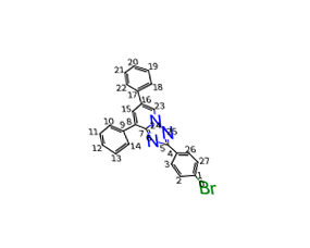 Brc1ccc(-c2nc3c(-c4ccccc4)cc(-c4ccccc4)cn3n2)cc1